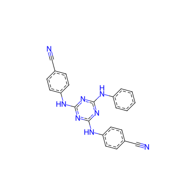 N#Cc1ccc(Nc2nc(Nc3ccccc3)nc(Nc3ccc(C#N)cc3)n2)cc1